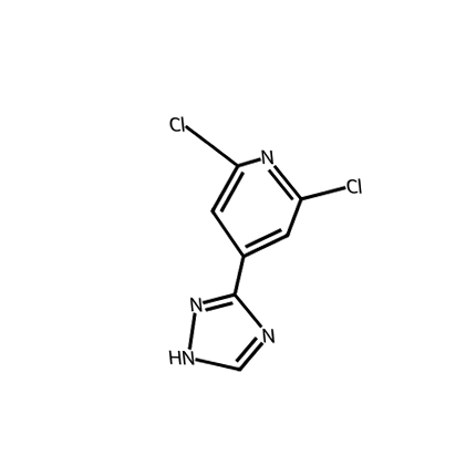 Clc1cc(-c2nc[nH]n2)cc(Cl)n1